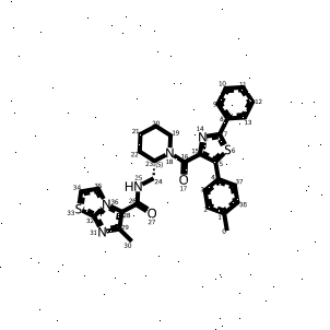 Cc1ccc(-c2sc(-c3ccccc3)nc2C(=O)N2CCCC[C@H]2CNC(=O)c2c(C)nc3sccn23)cc1